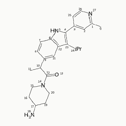 Cc1cc(-c2[nH]c3ccc(C(C)C(=O)N4CCC(N)CC4)cc3c2C(C)C)ccn1